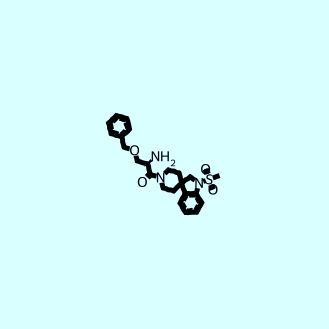 CS(=O)(=O)N1CC2(CCN(C(=O)[C@H](N)COCc3ccccc3)CC2)c2ccccc21